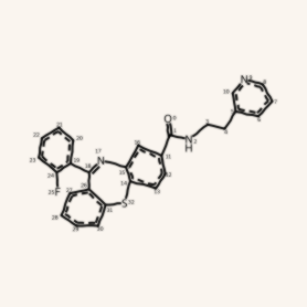 O=C(NCCc1cccnc1)c1ccc2c(c1)N=C(c1ccccc1F)c1ccccc1S2